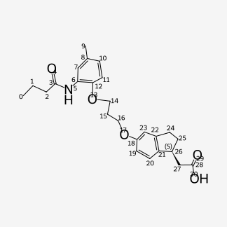 CCCC(=O)Nc1cc(C)ccc1OCCCOc1ccc2c(c1)CC[C@H]2CC(=O)O